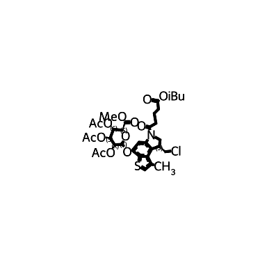 COC(=O)[C@H]1O[C@@H](Oc2cc3c(c4c(C)csc24)[C@H](CCl)CN3C(=O)CCCC(=O)OCC(C)C)[C@H](OC(C)=O)[C@@H](OC(C)=O)[C@@H]1OC(C)=O